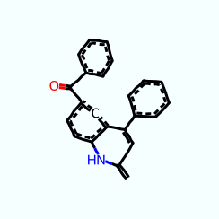 C=C1C=C(c2ccccc2)c2cc(C(=O)c3ccccc3)ccc2N1